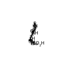 CC(C)(C)C(NC(=O)O)c1nc(CCCCCNC(=O)COCc2ccc(F)cc2)cs1